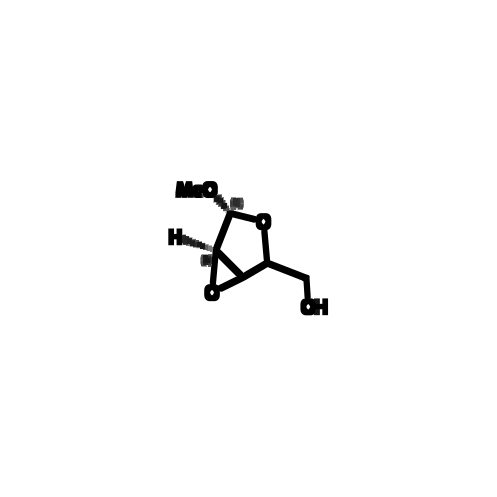 CO[C@@H]1OC(CO)C2O[C@H]21